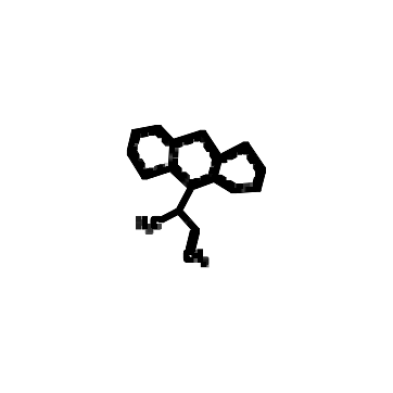 C=CC(C)c1c2ccccc2cc2ccccc12